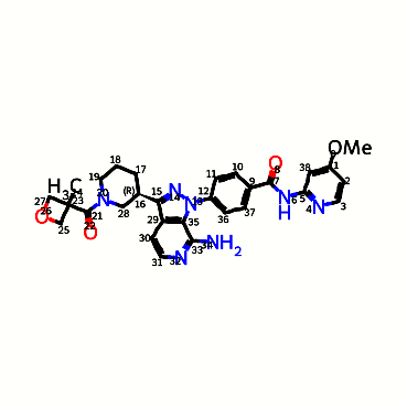 COc1ccnc(NC(=O)c2ccc(-n3nc([C@@H]4CCCN(C(=O)C5(C)COC5)C4)c4ccnc(N)c43)cc2)c1